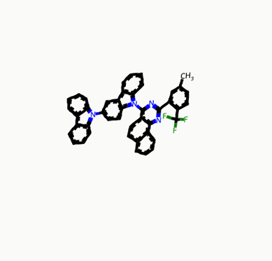 Cc1ccc(C(F)(F)F)c(-c2nc(-n3c4ccccc4c4cc(-n5c6ccccc6c6ccccc65)ccc43)c3ccc4ccccc4c3n2)c1